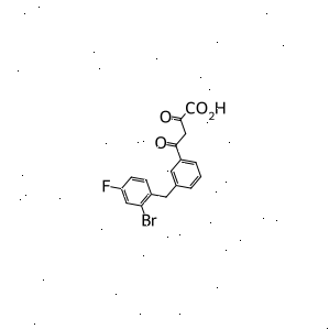 O=C(O)C(=O)CC(=O)c1cccc(Cc2ccc(F)cc2Br)c1